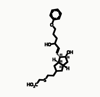 O=C(O)CSCCC1C[C@H]2C[C@H](O)[C@@H](C=CC(O)CCCOc3ccccc3)[C@@H]2C1